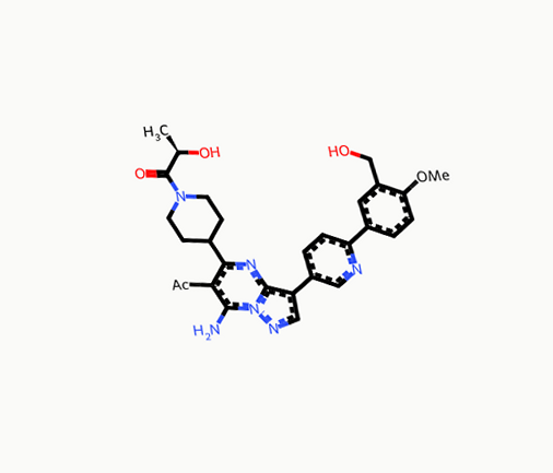 COc1ccc(-c2ccc(-c3cnn4c(N)c(C(C)=O)c(C5CCN(C(=O)[C@@H](C)O)CC5)nc34)cn2)cc1CO